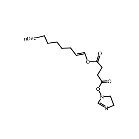 CCCCCCCCCCCCCCCC=COC(=O)CCC(=O)ON1C=NCC1